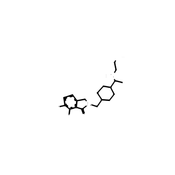 CC(NCCO)C1CCC(CN2Cc3ccc(O)c(F)c3C2=O)CC1